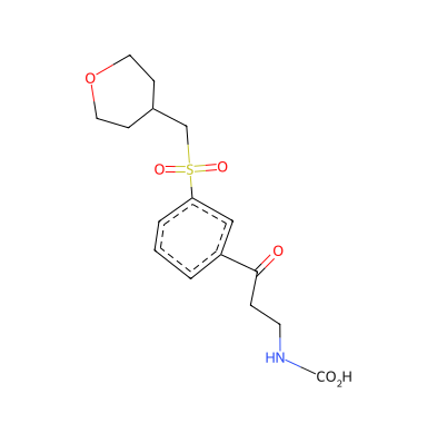 O=C(O)NCCC(=O)c1cccc(S(=O)(=O)CC2CCOCC2)c1